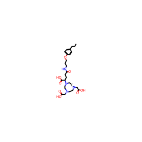 CCCc1ccc(OCCCNC(=O)CCC(C(=O)O)N2CCN(CC(=O)O)CCN(CC(=O)O)CC2)cc1